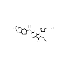 C=CCn1c(=O)c2cnc(Nc3ccc4c(c3)CNCC4)nc2n1-c1coc(C(C)(C)C)c1